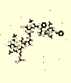 CC[C@H](C)[C@H](NC(=O)[C@@H](CCCNC(=N)N)NC(=O)[C@H](CC(C)C)NC(=O)[C@@H](NC(=O)OC(C)(C)C)[C@H](O)C(C)C)C(=O)N[C@H](C(=O)NCC(=O)N[C@H](C(=O)NC(COC(C)(C)C)C(=O)O[C@H](c1ccccc1)[C@H](NC(=O)[C@H](CC(C)C)NC(=O)[C@@H](CC(C)C)NC(=O)OCc1ccccc1)C(=O)O)[C@H](O)C(N)=O)[C@H](C)O